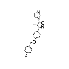 Cc1c(-c2ccc(OCc3ccc(F)cc3)cc2)noc1-n1ccnc1